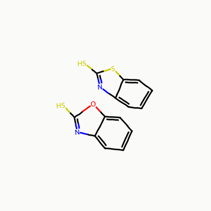 Sc1nc2ccccc2o1.Sc1nc2ccccc2s1